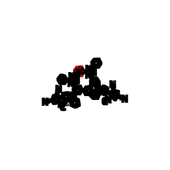 [C-]#[N+]c1cc(C#N)cc(C#N)c1-c1ccc2c(c1)c1ccccc1n2-c1cc(-c2cccc(-c3cc(-c4nc(-c5ccccc5)nc(-c5ccccc5)n4)ccc3-n3c4ccccc4c4cc(-c5c(C#N)cc(C#N)cc5[N+]#[C-])ccc43)c2)cc(-c2nc(-c3ccccc3)nc(-c3ccccc3)n2)c1